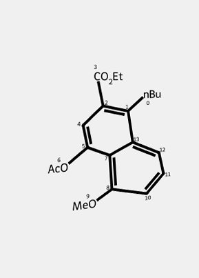 CCCCc1c(C(=O)OCC)cc(OC(C)=O)c2c(OC)cccc12